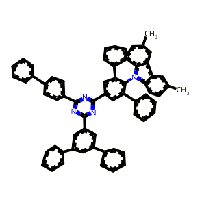 Cc1ccc2c(c1)c1cc(C)ccc1n2-c1c(-c2ccccc2)cc(-c2nc(-c3ccc(-c4ccccc4)cc3)nc(-c3cc(-c4ccccc4)cc(-c4ccccc4)c3)n2)cc1-c1ccccc1